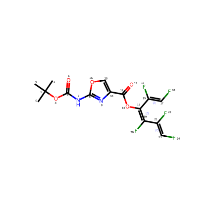 CC(C)(C)OC(=O)Nc1nc(C(=O)OC(/C(F)=C/F)=C(F)/C(F)=C/F)co1